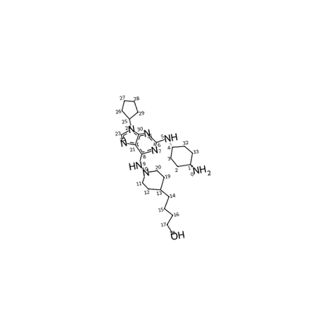 N[C@H]1CC[C@H](Nc2nc(NN3CCC(CCCCO)CC3)c3ncn(C4CCCC4)c3n2)CC1